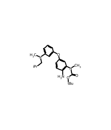 CC(C)CN(C)c1cccc(Oc2ccc(N)c(N(C)C(=O)OC(C)(C)C)c2)c1